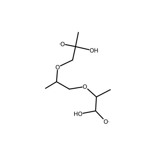 CC(COC(C)C([O])O)OCC(C)([O])O